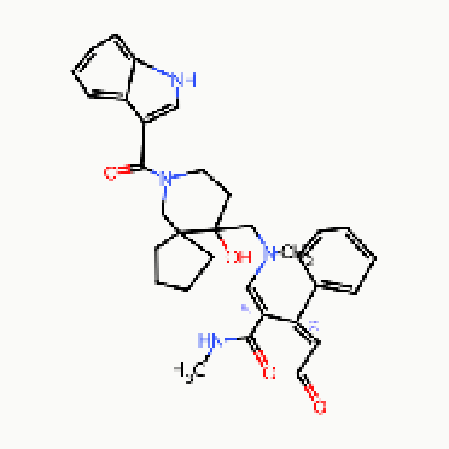 CNC(=O)C(=C/N(C)CC1(O)CCN(C(=O)c2c[nH]c3ccccc23)CC12CCCC2)/C(=C\C=O)c1ccccc1